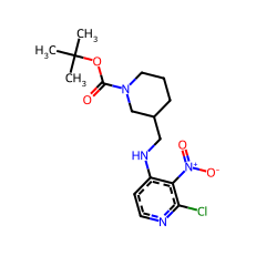 CC(C)(C)OC(=O)N1CCCC(CNc2ccnc(Cl)c2[N+](=O)[O-])C1